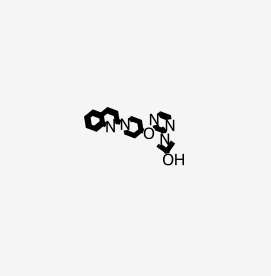 OC1CN(c2nccnc2OC2CCN(c3ccc4ccccc4n3)CC2)C1